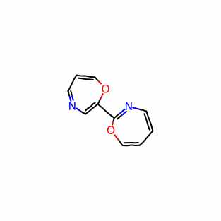 C1=CN=C(C2=CN=CC=CO2)OC=C1